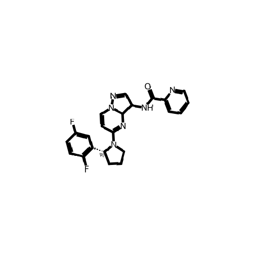 O=C(NC1C=NN2C=CC(N3CCC[C@@H]3c3cc(F)ccc3F)=NC12)c1ccccn1